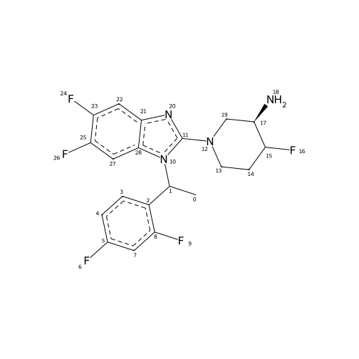 CC(c1ccc(F)cc1F)n1c(N2CCC(F)[C@H](N)C2)nc2cc(F)c(F)cc21